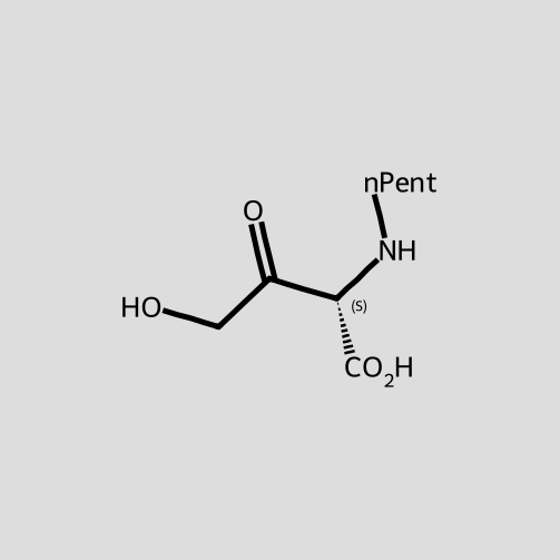 CCCCCN[C@H](C(=O)O)C(=O)CO